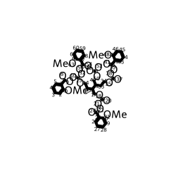 COc1ccccc1C(=O)OOC(=O)OCCC(COC(=O)OOC(=O)c1ccccc1OC)C(CCOC(=O)OOC(=O)c1ccccc1OC)COC(=O)OOC(=O)c1ccccc1OC